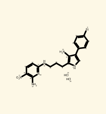 CCc1ccc(-c2c[nH]c(CCCNc3ccc([N+](=O)[O-])c(N)n3)c2N)cc1.Cl.Cl